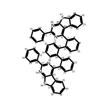 c1ccc(-c2nc(-c3ccccc3-c3ccccc3-c3ccccc3-c3nc(-c4ccccc4)nc4sc5ccccc5c34)c3c(n2)sc2ccccc23)cc1